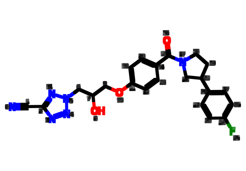 N#Cc1nnn(CC(O)COc2ccc(C(=O)N3CCC(c4ccc(F)cc4)C3)cc2)n1